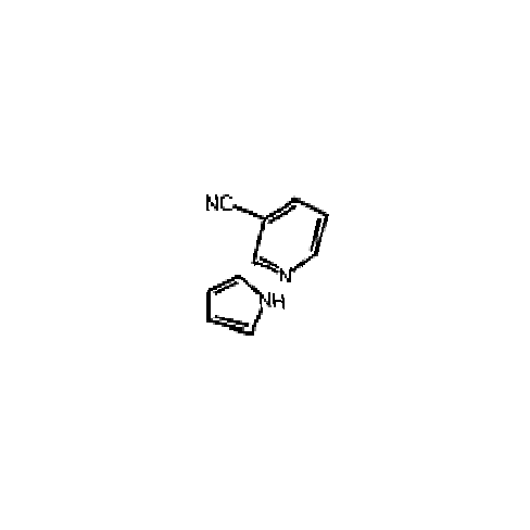 N#Cc1cccnc1.c1cc[nH]c1